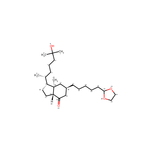 C[C@H](CCCC(C)(C)O)[C@H]1CC[C@H]2C(=O)C[C@H](CCCCCC3OCCO3)C[C@]12C